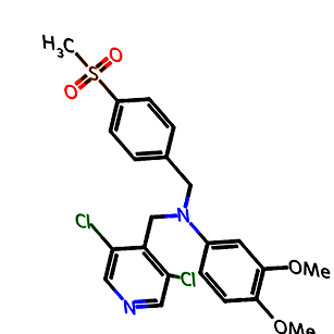 COc1ccc(N(Cc2ccc(S(C)(=O)=O)cc2)Cc2c(Cl)cncc2Cl)cc1OC